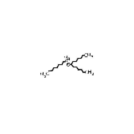 CCCCCCCC[PH](=O)OC(CCCCCC)CCCCCC